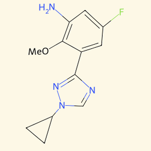 COc1c(N)cc(F)cc1-c1ncn(C2CC2)n1